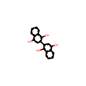 Oc1cc(-c2cc(O)c3ccccc3c2O)c(O)c2ccccc12